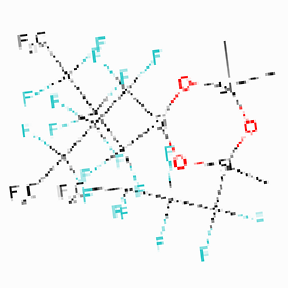 C[Si]1(C)O[Si](C)(C(F)(F)C(F)(F)C(F)(F)C(F)(F)F)O[Si](C(F)(F)C(F)(F)C(F)(F)C(F)(F)F)(C(F)(F)C(F)(F)C(F)(F)C(F)(F)F)O1